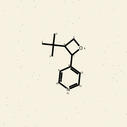 CC(C)(C)C1COC1c1ccncc1